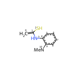 C=C(S)Nc1ccccc1NC